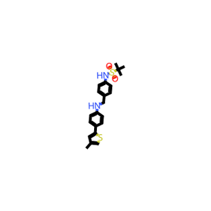 Cc1csc(-c2ccc(NCc3ccc(NS(=O)(=O)C(C)(C)C)cc3)cc2)c1